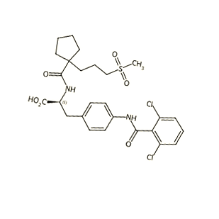 CS(=O)(=O)CCCC1(C(=O)N[C@@H](Cc2ccc(NC(=O)c3c(Cl)cccc3Cl)cc2)C(=O)O)CCCC1